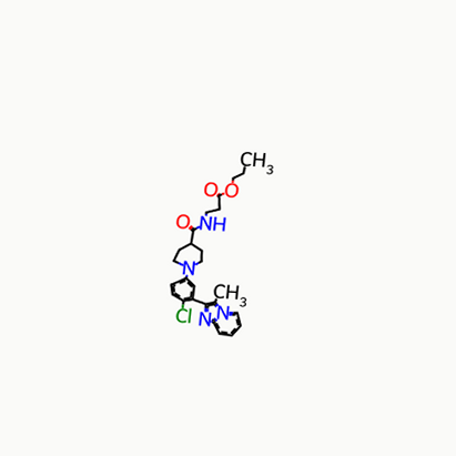 CCCOC(=O)CCNC(=O)C1CCN(c2ccc(Cl)c(-c3nc4ccccn4c3C)c2)CC1